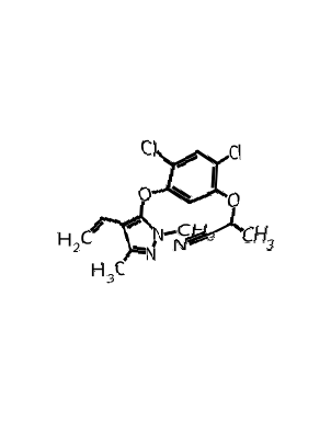 C=Cc1c(C)nn(C)c1Oc1cc(OC(C)C#N)c(Cl)cc1Cl